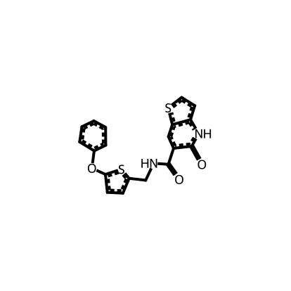 O=C(NCc1ccc(Oc2ccccc2)s1)c1cc2sccc2[nH]c1=O